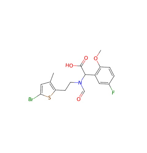 COc1ccc(F)cc1C(C(=O)O)N(C=O)CCc1sc(Br)cc1C